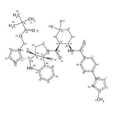 Cc1ccn(-c2ccc(C(=O)N[C@@H]3CCC(F)(F)C[C@@H]3C(=O)N3CC[C@H]4[C@@H](c5nccn5COC(=O)C(C)(C)C)Nc5ccccc5[C@H]43)cc2)n1